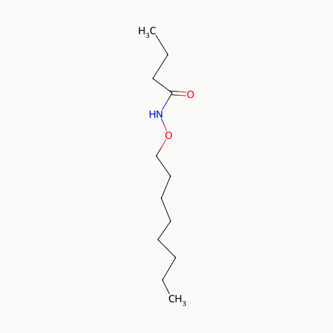 CCCCCCCCONC(=O)CCC